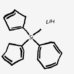 C[Si](C1=CC=CC1)(C1=CC=CC1)c1ccccc1.[LiH]